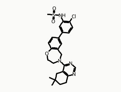 CC1(C)CCc2ncnc(N3CCOc4ccc(-c5ccc(Cl)c(NS(C)(=O)=O)c5)cc4C3)c2C1